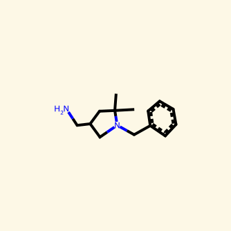 CC1(C)CC(CN)CN1Cc1ccccc1